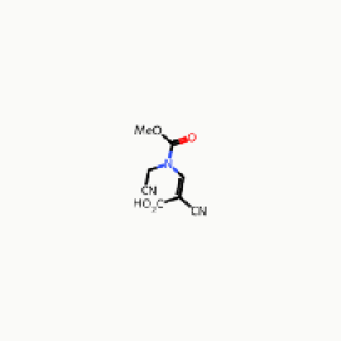 COC(=O)N(C=C(C#N)C(=O)O)CC#N